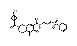 CC12CC(C(=O)N3CCc4[nH]c(=O)c(C(=O)NC/C=C/S(=O)(=O)c5ccccc5)cc4C3)(C1)C2